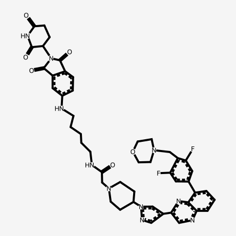 O=C(CN1CCC(n2cc(-c3cnc4cccc(-c5cc(F)c(CN6CCOCC6)c(F)c5)c4n3)cn2)CC1)NCCCCCNc1ccc2c(c1)C(=O)N(C1CCC(=O)NC1=O)C2=O